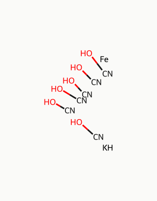 N#CO.N#CO.N#CO.N#CO.N#CO.N#CO.[Fe].[KH]